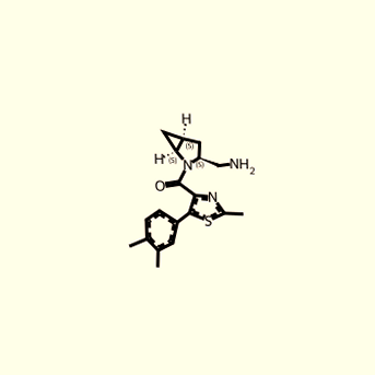 Cc1nc(C(=O)N2[C@H](CN)C[C@@H]3C[C@@H]32)c(-c2ccc(C)c(C)c2)s1